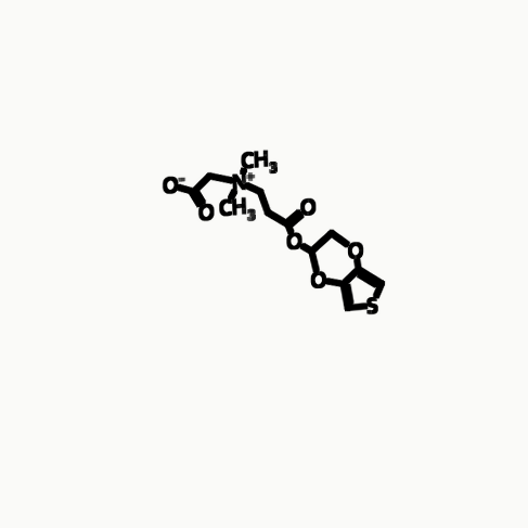 C[N+](C)(CCC(=O)OC1COc2cscc2O1)CC(=O)[O-]